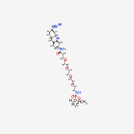 CC(C)(C)OC(=O)NCCOCCOCCOCCOCCC(=O)Nc1ccc2cc3ccc(N=[N+]=[N-])cc3nc2c1